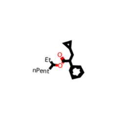 CCCCCC(CC)OC(=O)C(CC1CC1)c1ccccc1